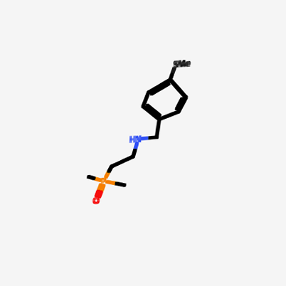 CSc1ccc(CNCCP(C)(C)=O)cc1